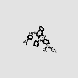 CCN(CC)c1ccc2nc3c4ccccc4c(Nc4ccc(N(C)C)cc4)cc3[n+](-c3ccccc3)c2c1